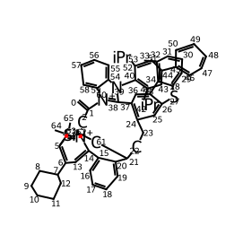 C=C1C[n+]2cc3c(C4CCCCC4)cc2-c2ccccc2C(CCc2cc4sc5cccc(C)c5c4cc2-c2n(-c4c(C(C)C)cc(-c5ccccc5)cc4C(C)C)c4ccccc4[n+]21)CC[Si]3(C)C